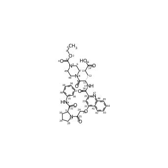 CCOC(=O)N1CCN(C(=O)[C@H](CCC(=O)O)NC(=O)c2cc(OCC(=O)N3CCC[C@H]3C(=O)Nc3ccccc3)c3ccccc3n2)CC1